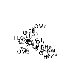 COCC[C@]1(C)C[C@@H](OC(=O)NC(=O)[C@H]2CN3CC[C@@H]2C3)[C@@]2(C)C3[C@H](OC)CCC3(CC[C@H]2C)[C@@H](C)C1=O